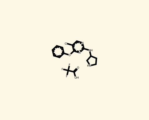 Clc1cnc(NC2CCNC2)nc1Oc1ccccc1.O=C(O)C(F)(F)F